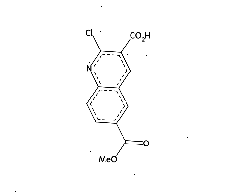 COC(=O)c1ccc2nc(Cl)c(C(=O)O)cc2c1